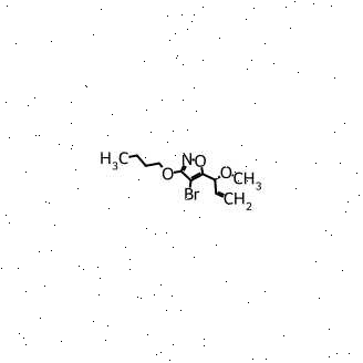 C=C[C@H](OC)c1onc(OCCCC)c1Br